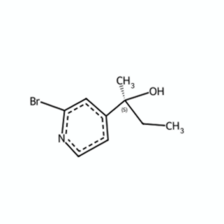 CC[C@](C)(O)c1ccnc(Br)c1